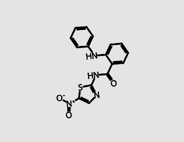 O=C(Nc1ncc([N+](=O)[O-])s1)c1ccccc1Nc1ccccc1